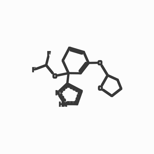 FC(F)OC1(c2cc[nH]n2)C=C(OC2CCCO2)C=CC1